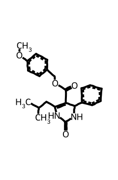 COc1ccc(COC(=O)C2=C(CC(C)C)NC(=O)NC2c2ccccc2)cc1